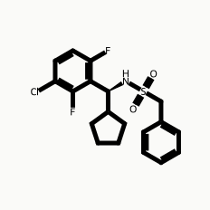 O=S(=O)(Cc1ccccc1)N[C@H](c1c(F)ccc(Cl)c1F)C1CCCC1